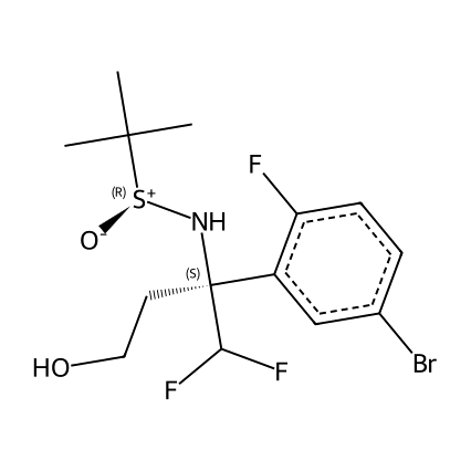 CC(C)(C)[S@+]([O-])N[C@@](CCO)(c1cc(Br)ccc1F)C(F)F